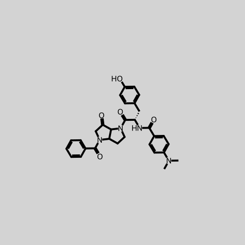 CN(C)c1ccc(C(=O)N[C@@H](Cc2ccc(O)cc2)C(=O)N2CCC3C2C(=O)CN3C(=O)c2ccccc2)cc1